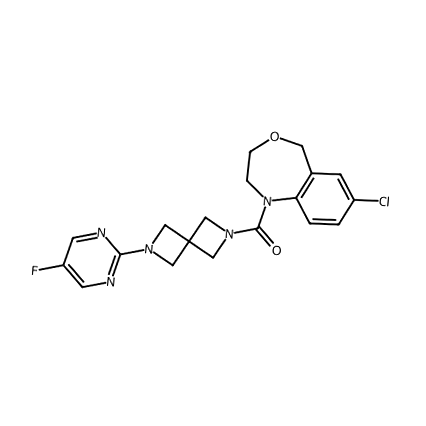 O=C(N1CC2(C1)CN(c1ncc(F)cn1)C2)N1CCOCc2cc(Cl)ccc21